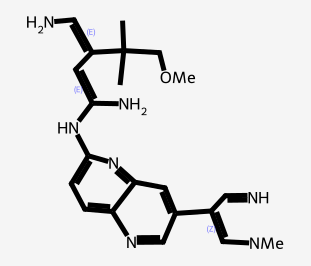 CN/C=C(\C=N)c1cnc2ccc(N/C(N)=C/C(=C\N)C(C)(C)COC)nc2c1